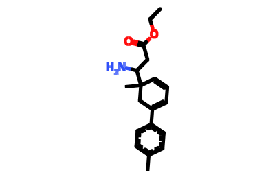 CCOC(=O)CC(N)C1(C)C=CC=C(c2ccc(C)cc2)C1